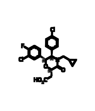 O=C(O)C[C@@H]1O[C@H](c2ccc(F)c(Cl)c2)[C@@H](c2ccc(Cl)cc2)N(CC2CC2)C1=O